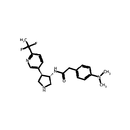 CN(C)c1ccc(CC(=O)N[C@@H]2CNC[C@H]2c2ccc(C(C)(F)F)nc2)cc1